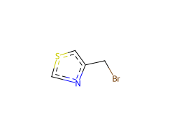 BrCc1cscn1